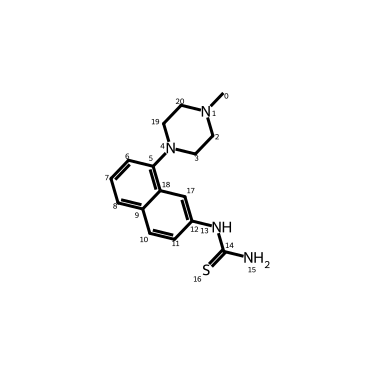 CN1CCN(c2cccc3ccc(NC(N)=S)cc23)CC1